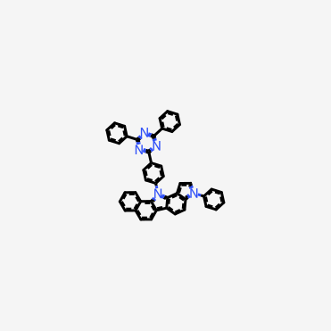 c1ccc(-c2nc(-c3ccccc3)nc(-c3ccc(-n4c5c6ccccc6ccc5c5ccc6c(ccn6-c6ccccc6)c54)cc3)n2)cc1